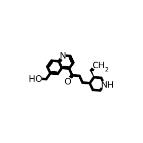 C=C[C@H]1CNCCC1CCC(=O)c1ccnc2ccc(CO)cc12